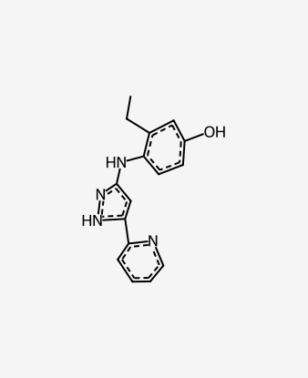 CCc1cc(O)ccc1Nc1cc(-c2ccccn2)[nH]n1